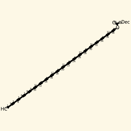 C#CC#CC#CC#CC#CC#CC#CC#CC#CC#CC#CC#CC#CC#CC#CC#CC#CC#CC#CC#COC(=O)CCCCCCCCCC